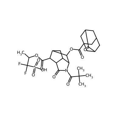 CC(OC(=O)C1C2CC3C1C(=O)N(C(=O)C(C)(C)C)C3C2OC(=O)C12CC3CC(C1)C(=O)C(C3)C2)C(F)(F)S(=O)(=O)O